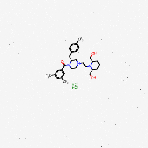 Cl.Cl.O=C(c1cc(C(F)(F)F)cc(C(F)(F)F)c1)N1CCN(CCN2[C@H](CO)CCC[C@@H]2CO)C[C@H]1Cc1ccc(C(F)(F)F)cc1